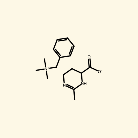 CC1=NCCC(C(=O)[O-])N1.C[N+](C)(C)Cc1ccccc1